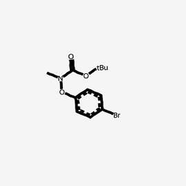 CN(Oc1ccc(Br)cc1)C(=O)OC(C)(C)C